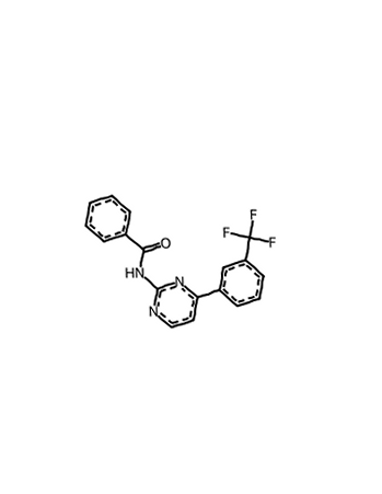 O=C(Nc1nccc(-c2cccc(C(F)(F)F)c2)n1)c1ccccc1